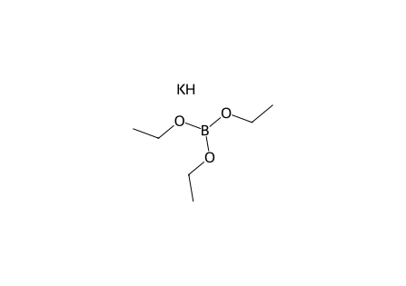 CCOB(OCC)OCC.[KH]